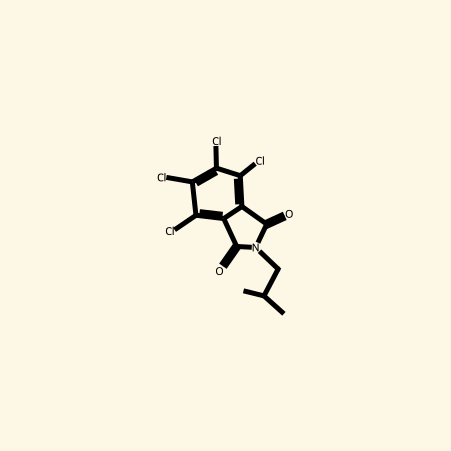 CC(C)CN1C(=O)c2c(Cl)c(Cl)c(Cl)c(Cl)c2C1=O